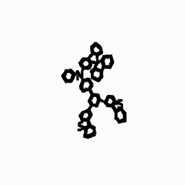 c1ccc(N(c2ccc(-c3cc(-c4ccc5sc6ccccc6c5c4)cc(-c4ccc5sc6ccccc6c5c4)c3)cc2)c2ccc3c(c2)C2(c4ccccc4-c4ccccc42)c2ccccc2-3)cc1